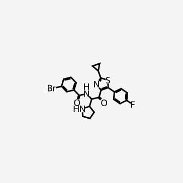 O=C(NC(C(=O)c1nc(C2CC2)sc1-c1ccc(F)cc1)C1CCCN1)c1cccc(Br)c1